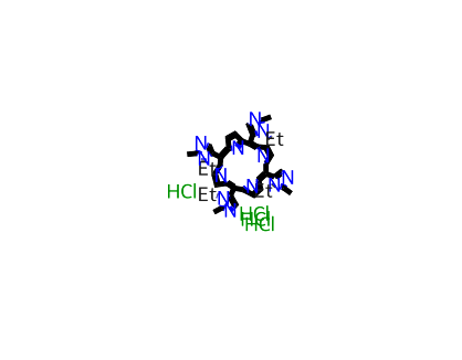 CCn1c(C2=C3C=CC(=N3)C(c3cnc(C)n3CC)=C3C=CC(=N3)C(c3cnc(C)n3CC)=C3C=CC(=N3)C(c3cnc(C)n3CC)=C3C=CC2=N3)cnc1C.Cl.Cl.Cl.Cl